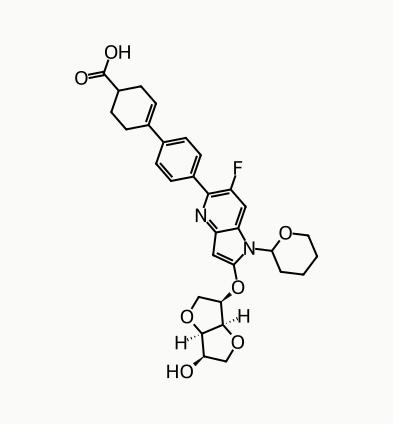 O=C(O)C1CC=C(c2ccc(-c3nc4cc(O[C@@H]5CO[C@H]6[C@@H]5OC[C@H]6O)n(C5CCCCO5)c4cc3F)cc2)CC1